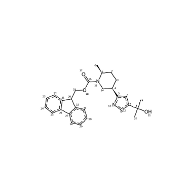 C[C@H]1CC[C@@H](c2cc(C(C)(C)O)sn2)CN1C(=O)OCC1c2ccccc2-c2ccccc21